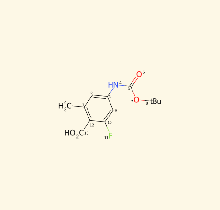 Cc1cc(NC(=O)OC(C)(C)C)cc(F)c1C(=O)O